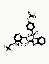 Cc1c(OCC(F)(F)F)ccnc1C[S+]([O-])c1nc2ccccc2n1S(=O)(=O)c1ccc(NC(N)=O)cc1